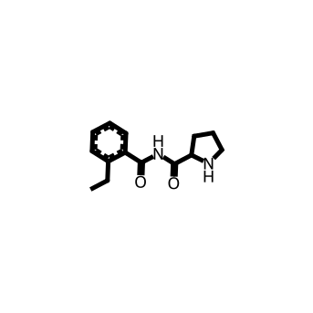 CCc1ccccc1C(=O)NC(=O)C1CCCN1